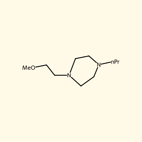 [CH2]CCN1CCN(CCOC)CC1